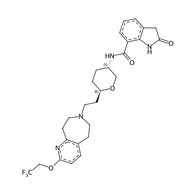 O=C1Cc2cccc(C(=O)N[C@H]3CC[C@H](CCN4CCc5ccc(OCC(F)(F)F)nc5CC4)OC3)c2N1